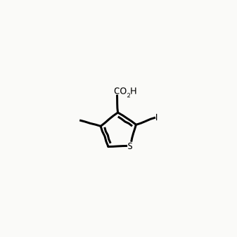 Cc1csc(I)c1C(=O)O